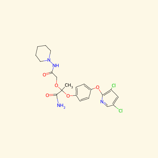 CC(OCC(=O)NN1CCCCC1)(Oc1ccc(Oc2ncc(Cl)cc2Cl)cc1)C(N)=O